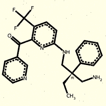 CC[C@@](CN)(CNc1ccc(C(F)(F)F)c(C(=O)c2cccnc2)n1)c1ccccc1